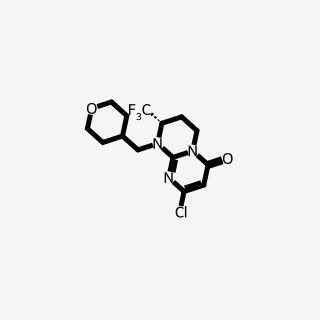 O=c1cc(Cl)nc2n1CC[C@@H](C(F)(F)F)N2CC1CCOCC1